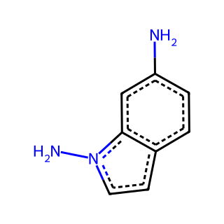 Nc1ccc2ccn(N)c2c1